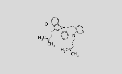 CN(C)CCCN1c2ccccc2CCc2ccccc21.CN(C)CCc1c[nH]c2cccc(O)c12